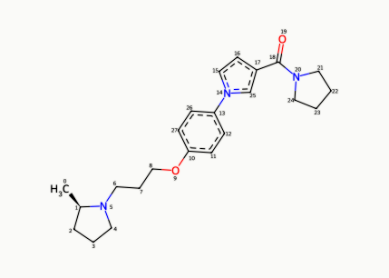 C[C@@H]1CCCN1CCCOc1ccc(-n2ccc(C(=O)N3CCCC3)c2)cc1